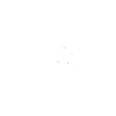 Cc1ccc(C)c(-c2nc3ccc(Cl)cn3c2C=O)c1